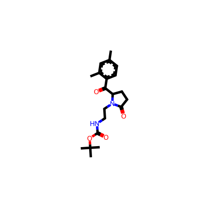 Cc1ccc(C(=O)C2CCC(=O)N2CCNC(=O)OC(C)(C)C)c(C)c1